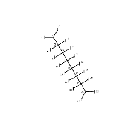 I[C](I)C(I)(I)C(I)(I)C(I)(I)C(I)(I)C(I)(I)C(I)(I)[C](I)I